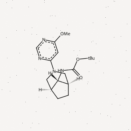 COc1cc(N2C[C@H]3CC[C@@H](C2)[C@@H]3NC(=O)OC(C)(C)C)ncn1